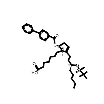 CCCCC[C@@H](CCC1=CC[C@H](OC(=O)c2ccc(-c3ccccc3)cc2)[C@]1(C)CCCCCCC(=O)O)O[Si](C)(C)C(C)(C)C